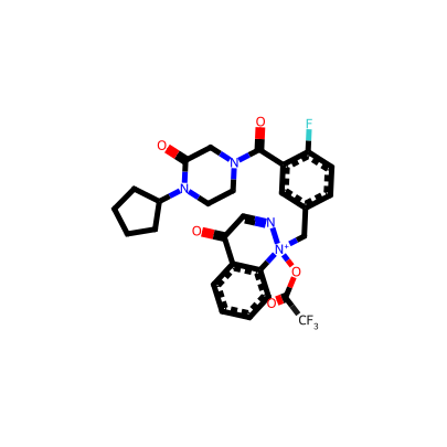 O=C1C=N[N+](Cc2ccc(F)c(C(=O)N3CCN(C4CCCC4)C(=O)C3)c2)(OC(=O)C(F)(F)F)c2ccccc21